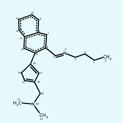 CCCCN=Cc1cc2ccccc2cc1C1=CC(CN(C)C)=CC1